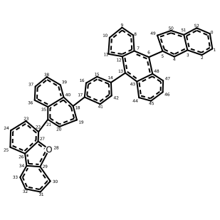 c1ccc2cc(-c3c4ccccc4c(-c4ccc(-c5ccc(-c6cccc7c6oc6ccccc67)c6ccccc56)cc4)c4ccccc34)ccc2c1